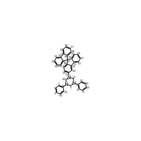 c1ccc(N2CN(c3ccccc3)CN(c3ccc4c(c3)-c3ccccc3C43c4ccccc4-c4ccccc43)C2)cc1